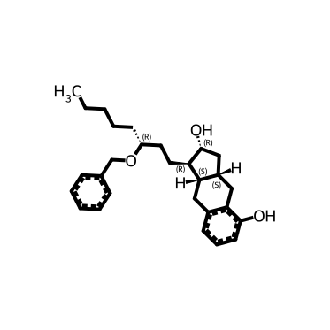 CCCCC[C@H](CC[C@@H]1[C@H]2Cc3cccc(O)c3C[C@H]2C[C@H]1O)OCc1ccccc1